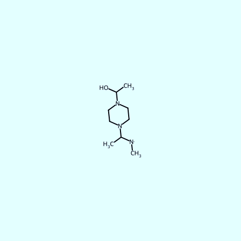 C[N]C(C)N1CCN(C(C)O)CC1